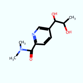 CC(O)C(O)c1ccc(C(=O)N(C)C)nc1